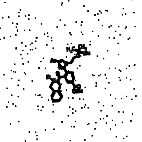 CC[C@@H]1Cc2ccccc2CN1C(=O)c1cc(C(=O)OC)ccc1-c1nc(C(C)=O)cn1CCO[Si](C)(C)C(C)(C)C